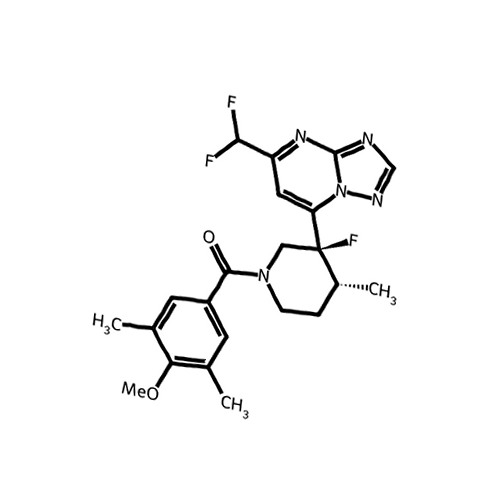 COc1c(C)cc(C(=O)N2CC[C@@H](C)[C@@](F)(c3cc(C(F)F)nc4ncnn34)C2)cc1C